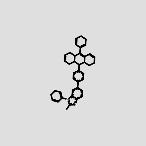 Cc1nc2ccc(-c3ccc(C4C5CCC=CC5=C(C5=CCCC=C5)C5CC=CCC54)cc3)cc2n1C1=CCCC=C1